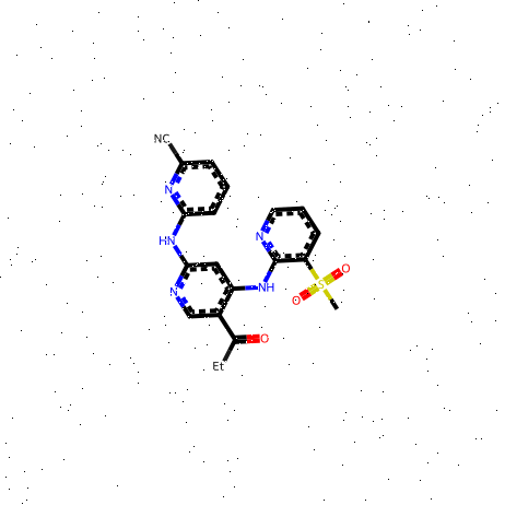 CCC(=O)c1cnc(Nc2cccc(C#N)n2)cc1Nc1ncccc1S(C)(=O)=O